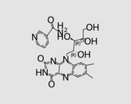 Cc1cc2nc3c(=O)[nH]c(=O)nc-3n(C[C@@H](O)[C@@H](O)[C@@H](O)CO)c2cc1C.NC(=O)c1cccnc1